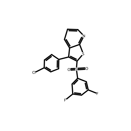 O=S(=O)(c1cc(F)cc(F)c1)c1sc2ncccc2c1-c1ccc(Cl)cc1